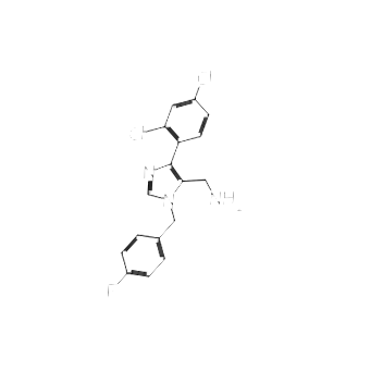 NCc1c(-c2ccc(Cl)cc2Cl)ncn1Cc1ccc(F)cc1